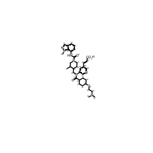 CC1CN(C(=O)Nc2cccc3cnn(C)c23)CCC1CN(C(=O)C1CCC(OCCN(C)C)CC1)c1cncc(C=CC(=O)O)c1